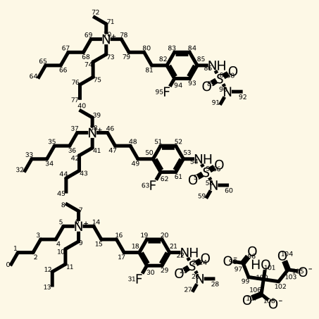 CCCCCC[N+](CC)(CCCCC)CCCCc1ccc(NS(=O)(=O)N(C)C)cc1F.CCCCCC[N+](CC)(CCCCC)CCCCc1ccc(NS(=O)(=O)N(C)C)cc1F.CCCCCC[N+](CC)(CCCCC)CCCCc1ccc(NS(=O)(=O)N(C)C)cc1F.O=C([O-])CC(O)(CC(=O)[O-])C(=O)[O-]